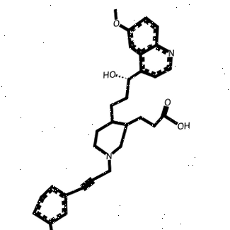 COc1ccc2nccc([C@@H](O)CCC3CCN(CC#Cc4cccc(C)c4)CC3CCC(=O)O)c2c1